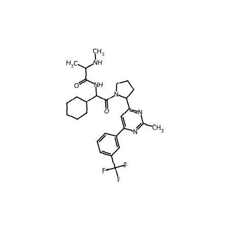 CNC(C)C(=O)NC(C(=O)N1CCCC1c1cc(-c2cccc(C(F)(F)F)c2)nc(C)n1)C1CCCCC1